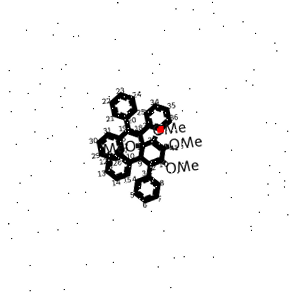 COC1=C(c2ccccc2)C(c2ccccc2)C(OC)(C(=C(c2ccccc2)c2ccccc2)c2ccccc2)C(OC)=C1OC